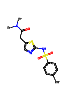 CCCc1ccc(S(=O)(=O)Nc2ncc(CC(=O)N(C(C)C)C(C)C)s2)cc1